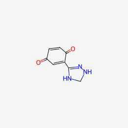 O=C1C=CC(=O)C(C2=NNCN2)=C1